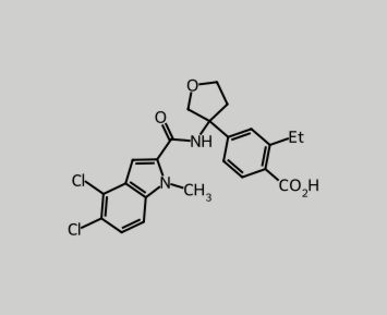 CCc1cc(C2(NC(=O)c3cc4c(Cl)c(Cl)ccc4n3C)CCOC2)ccc1C(=O)O